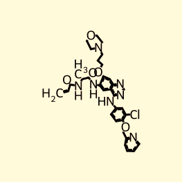 C=CC(=O)NC(C)C(=O)Nc1cc2c(Nc3ccc(OCc4ccccn4)c(Cl)c3)ncnc2cc1OCCCN1CCOCC1